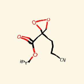 CC(C)OC(=O)C1(CCC#N)OO1